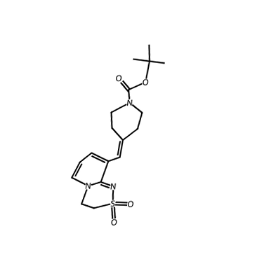 CC(C)(C)OC(=O)N1CCC(=CC2=CC=CN3CCS(=O)(=O)N=C23)CC1